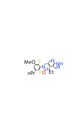 CCCc1cc(OC)c(F)c(N2Cc3cnc4[nH]ncc4c3N(CC)C2=O)c1F